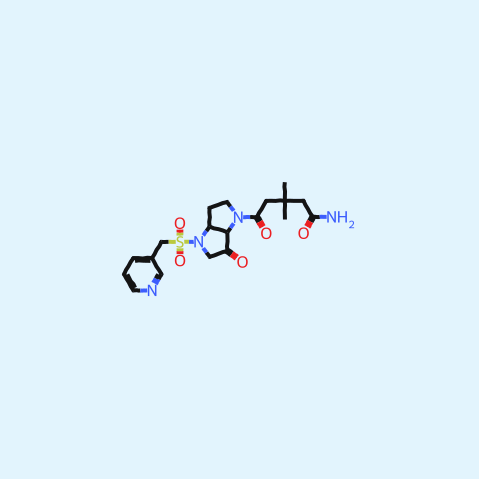 CC(C)(CC(N)=O)CC(=O)N1CCC2C1C(=O)CN2S(=O)(=O)Cc1cccnc1